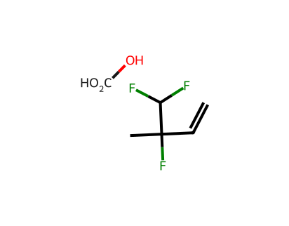 C=CC(C)(F)C(F)F.O=C(O)O